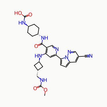 COC(=O)NC[C@H]1C[C@H](Nc2cc(-c3ccc4cc(C#N)cnn34)ncc2C(=O)N[C@H]2CC[C@H](NC(=O)O)CC2)C1